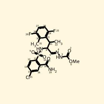 COC(=O)N/N=C/C(NS(=O)(=O)c1ccc(Cl)cc1C(N)=O)C(C)c1c(F)ccc(F)c1C